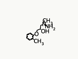 Cc1ccccc1OCC(O)CN(C)N